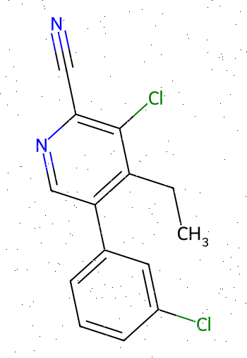 CCc1c(-c2cccc(Cl)c2)cnc(C#N)c1Cl